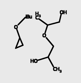 CC(O)COC(C)CO.CCC(C)OC1CC1